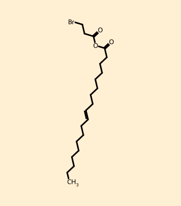 CCCCCCCCC=CCCCCCCCC(=O)OC(=O)CCBr